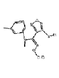 CCSc1nonc1/C(=N/OC=O)N(C)c1cccc(C)c1